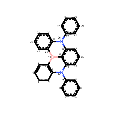 C1=CC2=C(CC1)N(c1ccccc1)c1cccc3c1B2c1ccccc1N3c1ccccc1